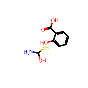 NC(O)S.O=C(O)c1ccccc1O